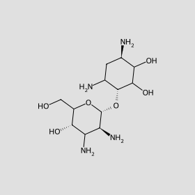 NC1C[C@@H](N)C(O)C(O)[C@@H]1O[C@H]1OC(CO)[C@@H](O)C(N)[C@@H]1N